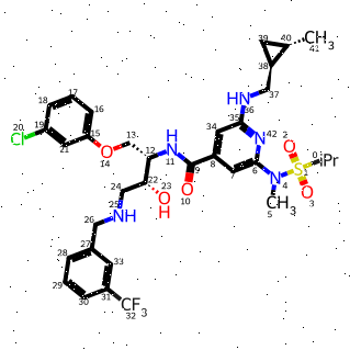 CC(C)S(=O)(=O)N(C)c1cc(C(=O)N[C@@H](COc2cccc(Cl)c2)[C@H](O)CNCc2cccc(C(F)(F)F)c2)cc(NC[C@H]2C[C@@H]2C)n1